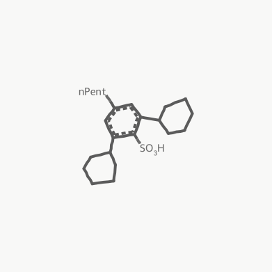 CCCCCc1cc(C2CCCCC2)c(S(=O)(=O)O)c(C2CCCCC2)c1